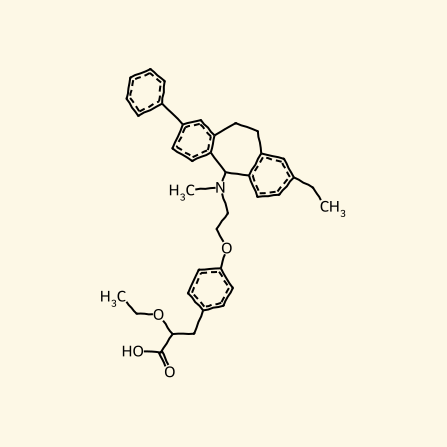 CCOC(Cc1ccc(OCCN(C)C2c3ccc(CC)cc3CCc3cc(-c4ccccc4)ccc32)cc1)C(=O)O